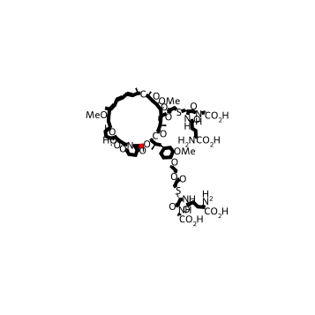 CO[C@H]1C[C@@H]2CC[C@@H](C)[C@@](O)(O2)C(=O)C(=O)N2CCCC[C@H]2C(=O)O[C@H]([C@H](C)C[C@@H]2CC[C@@H](OCCOC(=O)CSC[C@H](NC(=O)CC[C@H](N)C(=O)O)C(=O)NCC(=O)O)[C@H](OC)C2)CC(=O)[C@H](C)/C=C(\C)[C@@H](OC(=O)CSC[C@H](NC(=O)CC[C@H](N)C(=O)O)C(=O)NCC(=O)O)[C@@H](OC)C(=O)[C@H](C)C[C@H](C)/C=C/C=C/C=C/1C